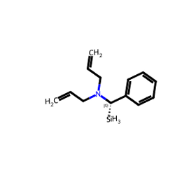 C=CCN(CC=C)[C@@H]([SiH3])c1ccccc1